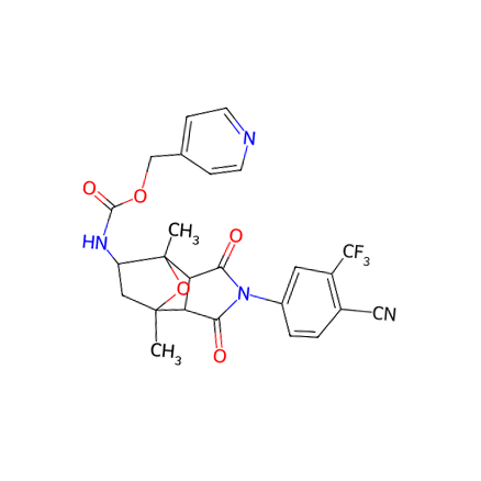 CC12CC(NC(=O)OCc3ccncc3)C(C)(O1)C1C(=O)N(c3ccc(C#N)c(C(F)(F)F)c3)C(=O)C12